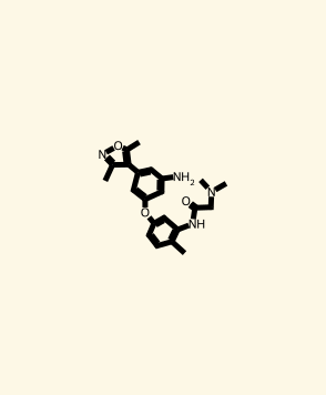 Cc1ccc(Oc2cc(N)cc(-c3c(C)noc3C)c2)cc1NC(=O)CN(C)C